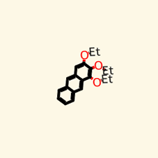 CCOc1cc2cc3ccccc3cc2c(OCC)c1OCC